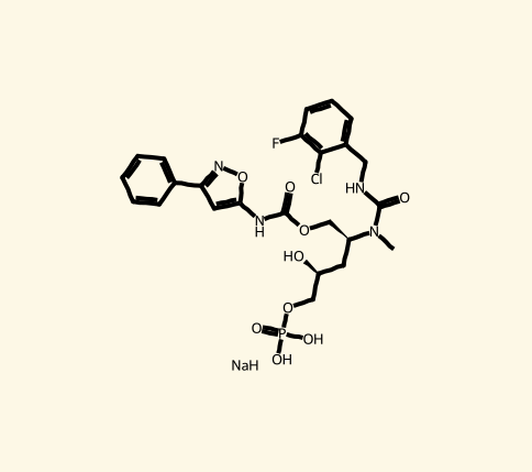 CN(C(=O)NCc1cccc(F)c1Cl)[C@H](COC(=O)Nc1cc(-c2ccccc2)no1)C[C@H](O)COP(=O)(O)O.[NaH]